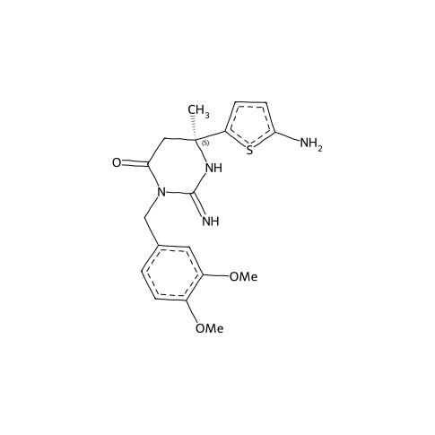 COc1ccc(CN2C(=N)N[C@](C)(c3ccc(N)s3)CC2=O)cc1OC